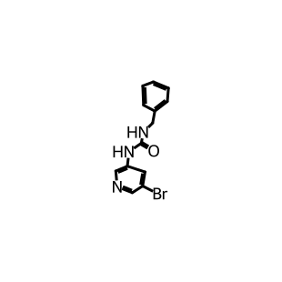 O=C(NCc1ccccc1)Nc1cncc(Br)c1